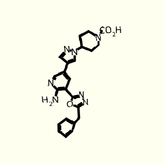 Nc1ncc(-c2cnn(C3CCN(C(=O)O)CC3)c2)cc1-c1nnc(Cc2ccccc2)o1